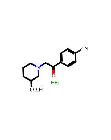 Br.N#Cc1ccc(C(=O)CN2CCCC(C(=O)O)C2)cc1